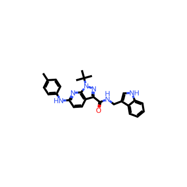 Cc1ccc(Nc2ccc3c(C(=O)NCc4c[nH]c5ccccc45)nn(C(C)(C)C)c3n2)cc1